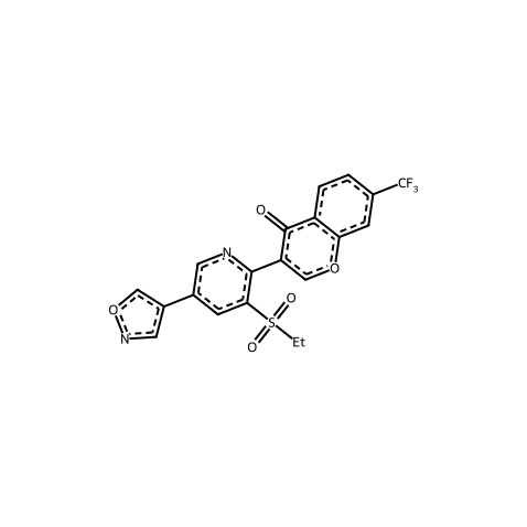 CCS(=O)(=O)c1cc(-c2cnoc2)cnc1-c1coc2cc(C(F)(F)F)ccc2c1=O